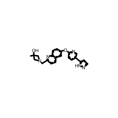 CC1(O)CN(Cc2ccc3cc(Oc4ccc(-c5ccn[nH]5)cn4)ccc3n2)C1